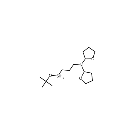 CC(C)(C)O[SiH2]CCCN(C1CCCO1)C1CCCO1